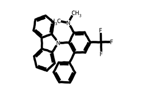 CN(C)c1cc(C(F)(F)F)cc(-c2ccccc2)c1-n1c2ccccc2c2ccccc21